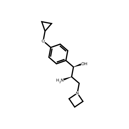 N[C@H](CN1CCC1)[C@H](O)c1ccc(OC2CC2)cc1